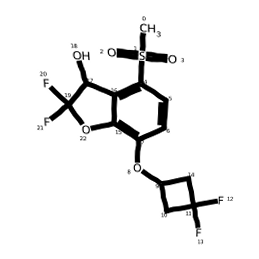 CS(=O)(=O)c1ccc(OC2CC(F)(F)C2)c2c1C(O)C(F)(F)O2